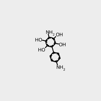 Nc1ccc(-c2c(O)c(O)c(N)c(O)c2O)cc1